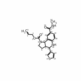 C=CCOC(=O)N1CCC2C(c3ccsc3)Nc3ccc(C(=O)NC)cc3C21